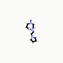 CN1CCCN(CCN2CCCC2)CC1